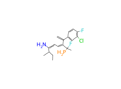 C=C(/C(=C\C=C(\N)C(C)CC)C(C)(F)P)c1ccc(F)c(Cl)c1